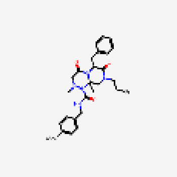 COc1ccc(CNC(=O)N2[C@H]3CN(CCC(C)C)C(=O)[C@H](Cc4ccccc4)N3C(=O)CN2C)cc1